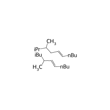 CCCCC=CC(C)C(C)CC.CCCCC=CCC(C)C(C)C